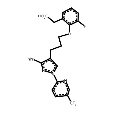 CCCc1nn(-c2ccc(C(F)(F)F)cn2)cc1CCCOc1c(F)cccc1CC(=O)O